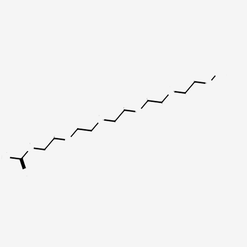 COCCOCCOCCOCCOCCOC(C)=O